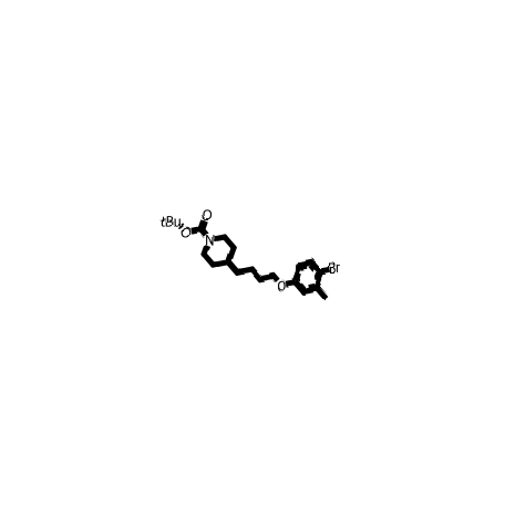 Cc1cc(OCCCCC2CCN(C(=O)OC(C)(C)C)CC2)ccc1Br